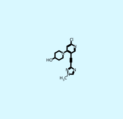 Cn1cnc(C#Cc2cnc(Cl)cc2N2CCC(O)CC2)n1